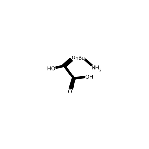 CCCCN.O=C(O)C(=O)O